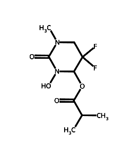 CC(C)C(=O)OC1N(O)C(=O)N(C)CC1(F)F